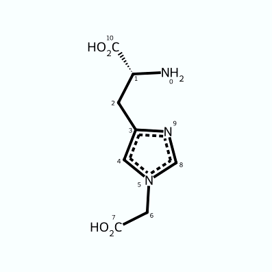 N[C@H](Cc1cn(CC(=O)O)cn1)C(=O)O